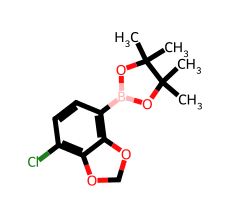 CC1(C)OB(c2ccc(Cl)c3c2OCO3)OC1(C)C